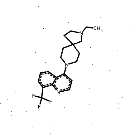 CCN1CCC2(CCN(c3ccnc4c(C(F)(F)F)cccc34)CC2)C1